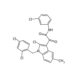 Cc1ccc2c(c1)c(C(=O)C(=O)Nc1cccc(Cl)c1)c(Cl)n2Cc1ccc(Cl)cc1Cl